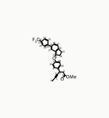 CC#CC(CC(=O)OC)c1ccc(OC2CCc3ccc(-c4ccc(C(F)(F)F)cc4)cc32)cc1